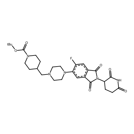 CC(C)(C)OC(=O)N1CCC(CN2CCN(c3cc4c(cc3F)C(=O)N(C3CCC(=O)NC3=O)C4=O)CC2)CC1